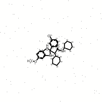 COc1ccc2c(c1)NC(c1cccc(Cl)c1)(C(C(=O)NC1CCCCC1)C1CCCCC1)N2